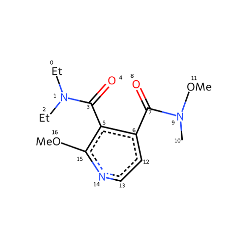 CCN(CC)C(=O)c1c(C(=O)N(C)OC)ccnc1OC